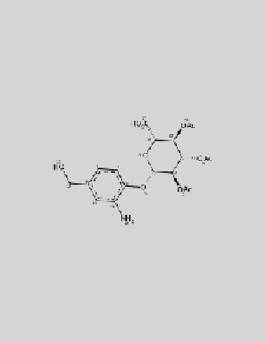 CC(=O)O[C@@H]1[C@@H](OC(C)=O)[C@H](Oc2ccc(CO)cc2N)O[C@H](C(=O)O)[C@H]1OC(C)=O